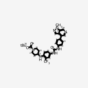 Cn1ncc2c(-c3ccc(NC(=O)Nc4ccc(NC5CCN(C(=O)OC(C)(C)C)CC5)c(C(F)(F)F)c4)cc3)cncc21